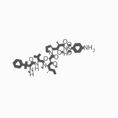 CC[C@H](C)[C@@H]([C@@H](CC(=O)N1CCC[C@H]1[C@H](OC)[C@@H](C)C(=O)NS(=O)(=O)c1ccc(N)cc1)OC)N(C)C(=O)[C@@H](NC(=O)[C@@H](NC)C(C)(C)c1ccccc1)C(C)C